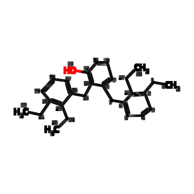 CCc1cccc(Cc2cccc(O)c2Cc2cccc(CC)c2CC)c1CC